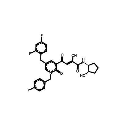 O=C(N[C@@H]1CCC[C@H]1O)C(O)=CC(=O)c1cc(Cc2ccc(F)cc2F)cn(Cc2ccc(F)cc2)c1=O